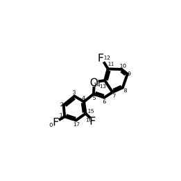 Fc1ccc(-c2cc3cccc(F)c3o2)c(F)c1